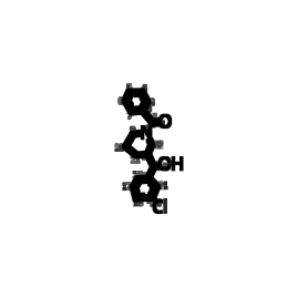 O=C(c1ccccc1)N1CCCC(C(O)c2cccc(Cl)c2)C1